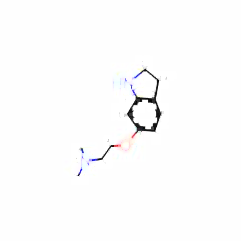 CN(C)CCOc1ccc2c(c1)NCC2